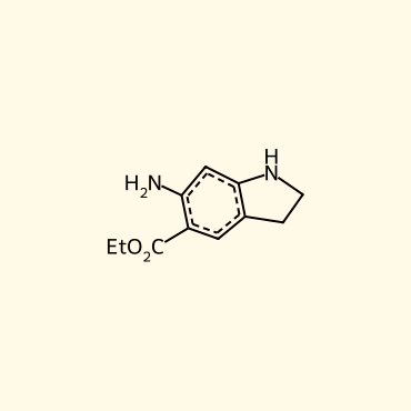 CCOC(=O)c1cc2c(cc1N)NCC2